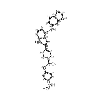 O=C(Oc1ccc(NO)cc1)N1CC=C(c2cc3c(Nc4ccc5ncsc5c4)ccnc3[nH]2)CC1